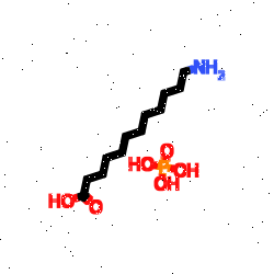 NCCCCCCCCCCCC(=O)O.O=P(O)(O)O